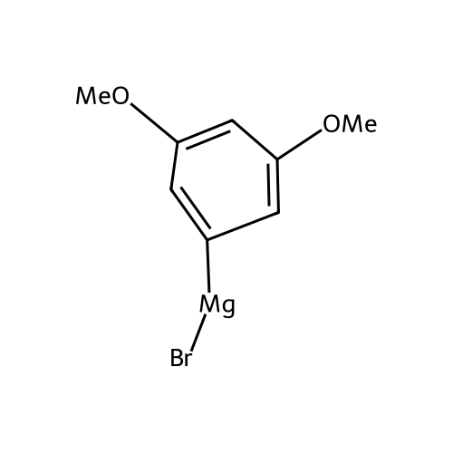 COc1cc(OC)c[c]([Mg][Br])c1